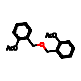 CC(=O)Oc1ccccc1COCc1ccccc1OC(C)=O